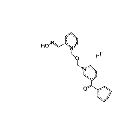 O=C(c1ccccc1)c1ccc[n+](COC[n+]2ccccc2C=NO)c1.[I-].[I-]